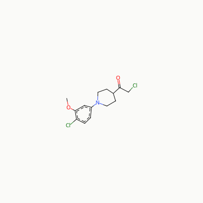 COc1cc(N2CCC(C(=O)CCl)CC2)ccc1Cl